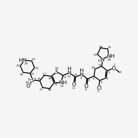 COC1=CC(Cl)C(C(=O)NC(=O)NC2NC3=C(CC([S+]([O-])C4CCNCC4)CC3)S2)CC1N1CCCN1